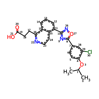 CC(C)Oc1ccc(-c2nc(-c3cccc4c(CCC(=O)O)nccc34)no2)cc1Cl